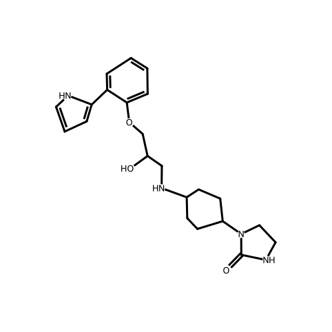 O=C1NCCN1C1CCC(NCC(O)COc2ccccc2-c2ccc[nH]2)CC1